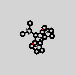 c1ccc(-c2cc(-c3cc(-c4ccccc4)c(-n4c5cc(-n6c7ccccc7c7ccccc76)c(-c6ccccc6)cc5c5cc(-c6ccccc6)c(-n6c7ccccc7c7ccccc76)cc54)c(-c4ccccc4)c3)nc(-c3ccccc3)n2)cc1